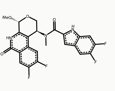 CO[C@@H]1OC[C@@H](N(C)C(=O)c2cc3cc(F)c(F)cc3[nH]2)c2c1[nH]c(=O)c1cc(F)c(F)cc21